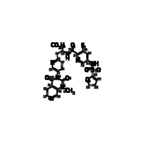 Cn1c(=O)n(-c2ccc(C[C@H](NC(=O)c3ncc(NS(=O)(=O)c4ccco4)cc3F)C(=O)O)nc2)c(=O)c2ccncc21